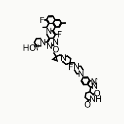 CCc1c(F)ccc2cc(C)cc(-c3ncc4c(N5CCC[C@@](C)(O)C5)nc(OCC5(CN6CCC(F)(CN7CCN(c8ccc9c(C%10CCC(=O)NC%10=O)nn(C)c9c8)CC7)CC6)CC5)nc4c3F)c12